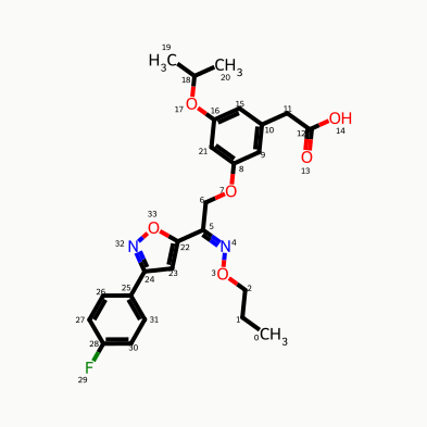 CCCON=C(COc1cc(CC(=O)O)cc(OC(C)C)c1)c1cc(-c2ccc(F)cc2)no1